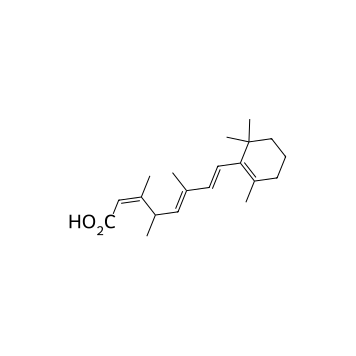 CC1=C(/C=C/C(C)=C/C(C)/C(C)=C\C(=O)O)C(C)(C)CCC1